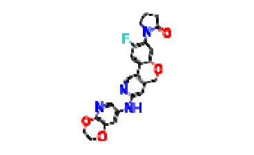 O=C1CCCN1c1cc2c(cc1F)-c1cnc(Nc3cnc4c(c3)OCCO4)cc1CO2